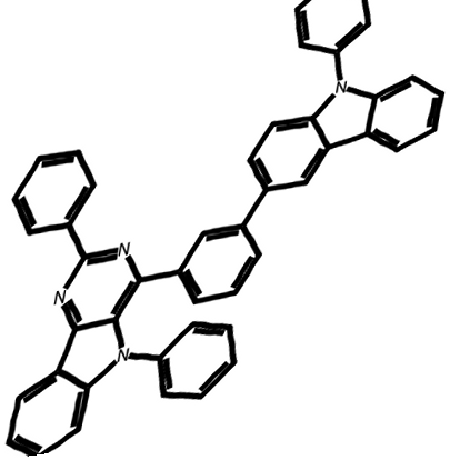 c1ccc(-c2nc(-c3cccc(-c4ccc5c(c4)c4ccccc4n5-c4ccccc4)c3)c3c(n2)c2ccccc2n3-c2ccccc2)cc1